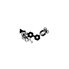 CN1c2cc(-c3cccc(N4CCS(=O)(=O)CC4)c3)ccc2N(CC2CC2)S1(=O)=O